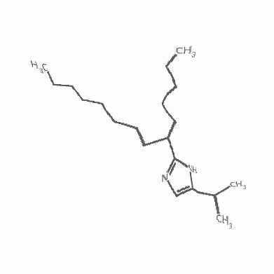 CCCCCCCCC(CCCCC)c1ncc(C(C)C)[nH]1